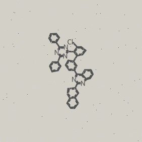 Clc1cccc(-c2cccc(-c3nc(-c4ccc5ccccc5c4)nc4ccccc34)c2)c1-c1nc(-c2ccccc2)nc(-c2ccccc2)n1